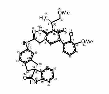 C=C(Cn1cc(-c2cccc(OC)c2Cl)c(=O)n([C@H](C)COC)c1=O)Nc1ccc2c(c1)C[C@@]1(C2)C(=O)Nc2ncccc21